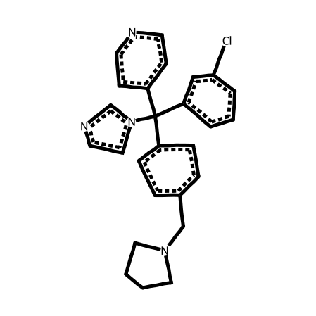 Clc1cccc(C(c2ccncc2)(c2ccc(CN3CCCC3)cc2)n2ccnc2)c1